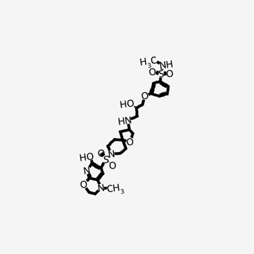 CNS(=O)(=O)c1cccc(OC[C@@H](O)CNC2COC3(CCN(S(=O)(=O)c4cc5c(nc4O)OCCN5C)CC3)C2)c1